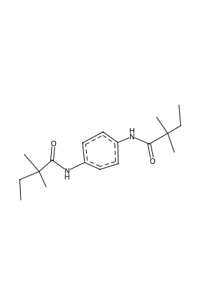 CCC(C)(C)C(=O)Nc1ccc(NC(=O)C(C)(C)CC)cc1